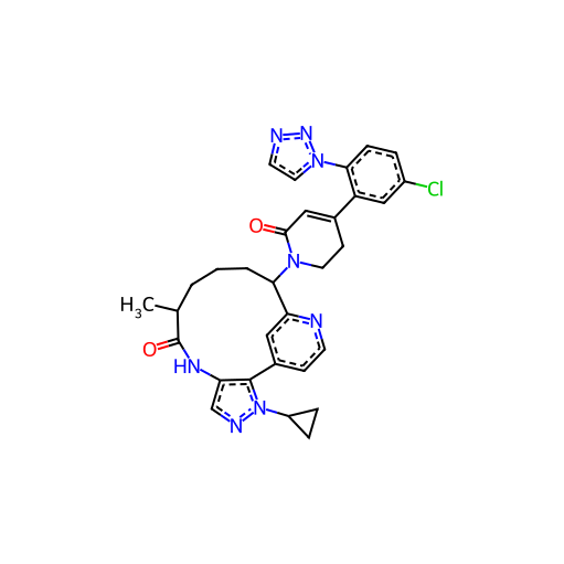 CC1CCCC(N2CCC(c3cc(Cl)ccc3-n3ccnn3)=CC2=O)c2cc(ccn2)-c2c(cnn2C2CC2)NC1=O